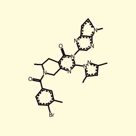 Cc1cc(C)n(-c2nc3c(c(=O)n2-c2cnc4c(ccn4C)n2)CC(C)N(C(=O)c2ccc(Br)c(C)c2)C3)n1